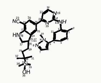 Cc1ccc(-c2ccnn2C)cc1Nc1nccc(-c2cc(C#N)c3c(c2)[C@@](C)(CCC(C)(C)[Si](C)(C)O)CN3)n1